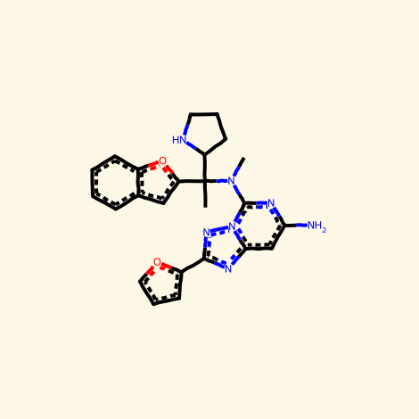 CN(c1nc(N)cc2nc(-c3ccco3)nn12)C(C)(c1cc2ccccc2o1)C1CCCN1